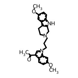 COc1ccc2[nH]c3c(c2c1)CCN(CCCn1cc(C(C)=O)c2ccc(OC)cc21)C3